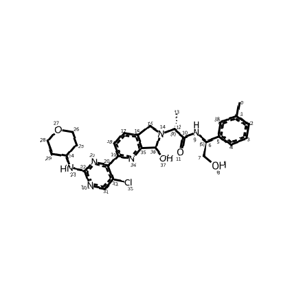 Cc1cccc([C@@H](CO)NC(=O)[C@@H](C)N2Cc3ccc(-c4nc(NC5CCOCC5)ncc4Cl)nc3C2O)c1